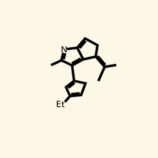 CCC1=CCC(C2=C3C(=CCC3=C(C)C)N=C2C)=C1